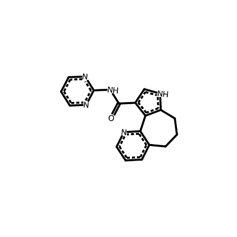 O=C(Nc1ncccn1)c1c[nH]c2c1-c1ncccc1CCC2